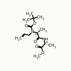 C=CCN(C(=O)OC(C)(C)C)[C@@H](C)C(=O)N[C@H](C)C(=O)OC